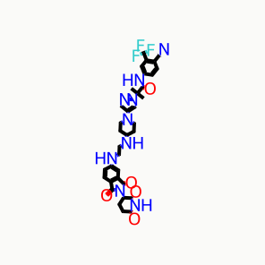 CC(C)(C(=O)Nc1ccc(C#N)c(C(F)(F)F)c1)n1cc(N2CCC(NCCNc3ccc4c(c3)C(=O)N(C3CCC(=O)NC3=O)C4=O)CC2)cn1